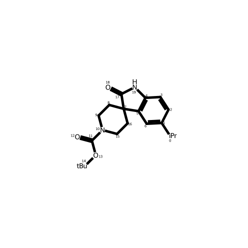 CC(C)c1ccc2c(c1)C1(CCN(C(=O)OC(C)(C)C)CC1)C(=O)N2